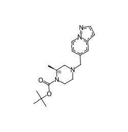 C[C@H]1CN(Cc2ccn3nccc3c2)CCN1C(=O)OC(C)(C)C